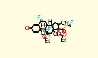 CCO[C@H]1C[C@@]2(C)[C@@H](C[C@@H](C)[C@]2(OC(=O)CC)C(=O)SCF)[C@@H]2C[C@H](F)C3=CC(=O)C=C[C@]3(C)[C@@]12F